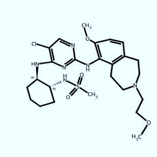 COCCN1CCc2ccc(OC)c(Nc3ncc(Cl)c(N[C@@H]4CCCC[C@H]4NS(C)(=O)=O)n3)c2CC1